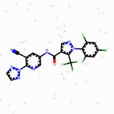 N#Cc1cc(NC(=O)c2cnn(-c3c(F)cc(F)cc3F)c2C(F)(F)F)cnc1-n1nccn1